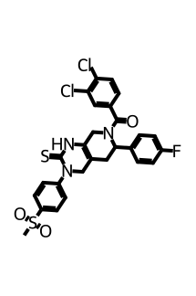 CS(=O)(=O)c1ccc(N2CC3=C(CN(C(=O)c4ccc(Cl)c(Cl)c4)C(c4ccc(F)cc4)C3)NC2=S)cc1